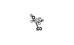 COc1ccc2c(c1)C(=O)N(C[C@@H](C#Cc1cnc3ccccn13)NC(=O)NC=O)C2